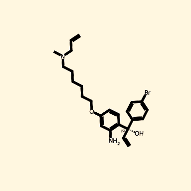 C=CCN(C)CCCCCCOc1ccc([C@](O)(C=C)c2ccc(Br)cc2)c(N)c1